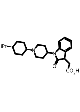 CC(C)[C@H]1CC[C@@H](N2CCC(N3C(=O)C(CC(=O)O)c4ccccc43)CC2)CC1